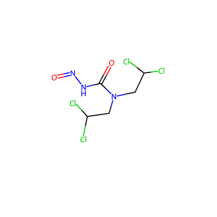 O=NNC(=O)N(CC(Cl)Cl)CC(Cl)Cl